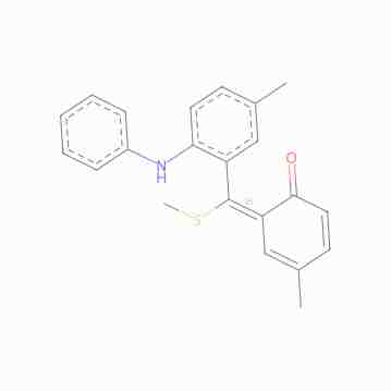 CS/C(=C1\C=C(C)C=CC1=O)c1cc(C)ccc1Nc1ccccc1